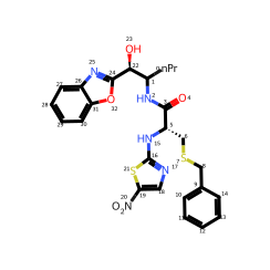 CCCC(NC(=O)[C@H](CSCc1ccccc1)Nc1ncc([N+](=O)[O-])s1)[C@H](O)c1nc2ccccc2o1